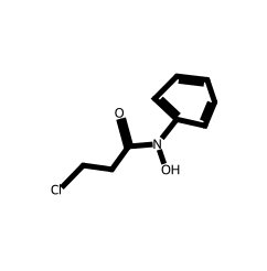 O=C(CCCl)N(O)c1ccccc1